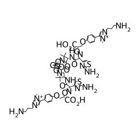 C[n+]1cn(CCCN)cc1-c1ccc(OC[C@H](O/N=C(\C(=O)N[C@@H]2C(=O)N(OS(=O)(=O)ON3C(=O)[C@@H](NC(=O)/C(=N\O[C@@H](COc4ccc(-c5cn(CCCN)c[n+]5C)cc4)C(=O)O)c4csc(N)n4)C3(C)C)C2(C)C)c2csc(N)n2)C(=O)O)cc1